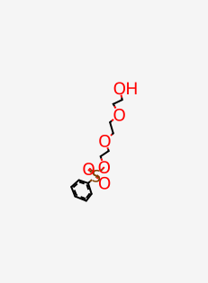 O=S(=O)(OCCOCCOCCO)c1ccccc1